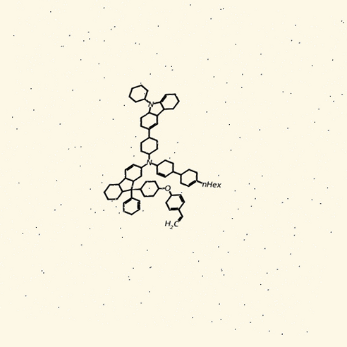 C=CC1=CCC(OC2CCC([C@]3(C4=CCCC=C4)C4CC(N(C5C=CC(C6CC=C(CCCCCC)CC6)CC5)C5CCC(C6=CC7C8CCCC=C8N(C8CCCCC8)C7CC6)CC5)C=CC4C4CCCCC43)CC2)C=C1